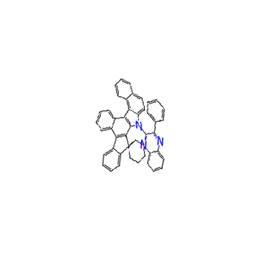 c1ccc(-c2nc3ccccc3nc2-n2c3ccc4ccccc4c3c3c4ccccc4c4c(c32)C2(CCCCC2)c2ccccc2-4)cc1